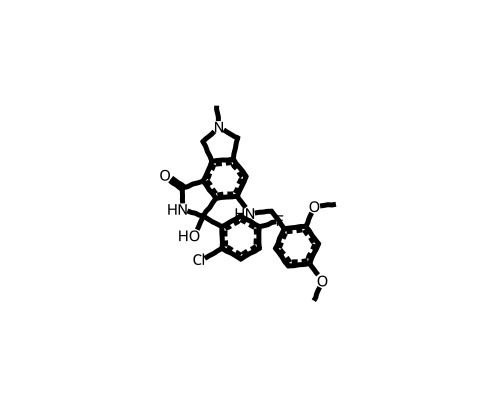 COc1ccc(CNc2cc3c(c4c2C(O)(c2cc(F)ccc2Cl)NC4=O)CN(C)C3)c(OC)c1